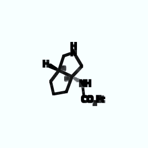 CCOC(=O)N[C@]12CCC[C@@H]1CNC2